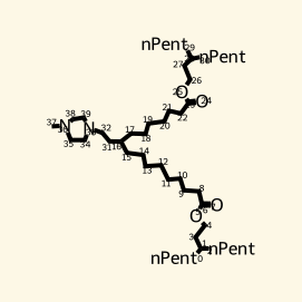 CCCCCC(CCCCC)CCOC(=O)CCCCCCCCC(CCCCCCC(=O)OCCC(CCCCC)CCCCC)CCN1CCN(C)CC1